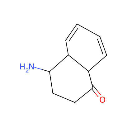 NC1CCC(=O)C2C=CC=CC12